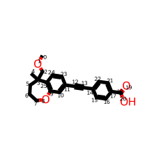 COCC1(C)CCCOc2cc(C#Cc3ccc(C(=O)O)cc3)ccc21